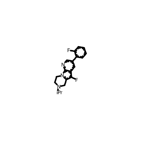 CC(C)N1CCn2c(c(F)c3cc(-c4ccccc4F)cnc32)C1